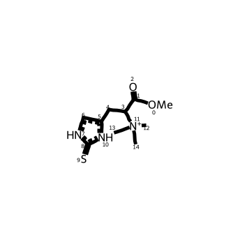 COC(=O)C(Cc1c[nH]c(=S)[nH]1)[N+](C)(C)C